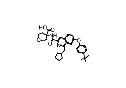 CC(C)(C)c1ccc(Oc2ccc3cc(C(=O)NC4(C(=O)O)CCOCC4)nc(CC4CCCC4)c3c2)cc1